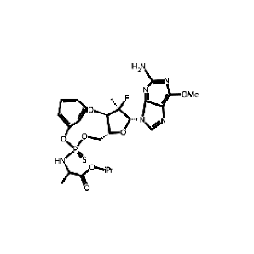 COc1nc(N)nc2c1ncn2[C@@H]1O[C@H](COP(=S)(NC(C)C(=O)OC(C)C)Oc2ccccc2)[C@@H](O)[C@@]1(C)F